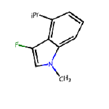 CC(C)c1cccc2c1c(F)cn2C